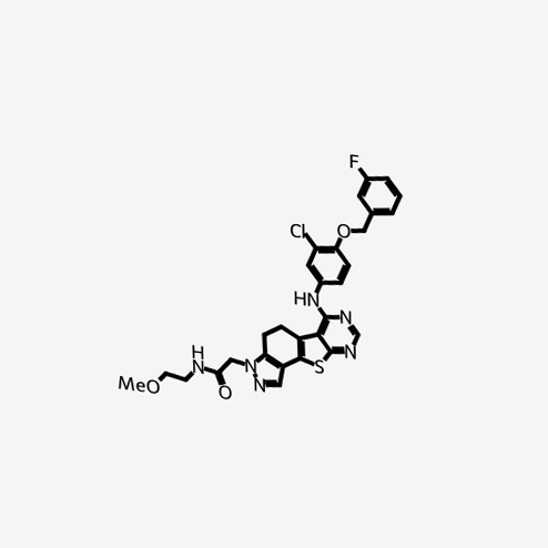 COCCNC(=O)Cn1ncc2c1CCc1c-2sc2ncnc(Nc3ccc(OCc4cccc(F)c4)c(Cl)c3)c12